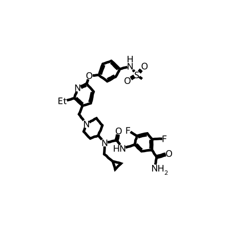 CCc1nc(Oc2ccc(NS(C)(=O)=O)cc2)ccc1CN1CCC(N(CC2CC2)C(=O)Nc2cc(C(N)=O)c(F)cc2F)CC1